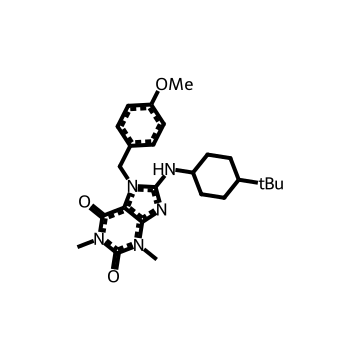 COc1ccc(Cn2c(NC3CCC(C(C)(C)C)CC3)nc3c2c(=O)n(C)c(=O)n3C)cc1